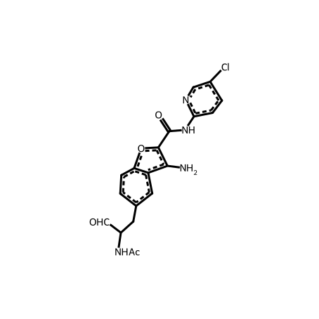 CC(=O)NC(C=O)Cc1ccc2oc(C(=O)Nc3ccc(Cl)cn3)c(N)c2c1